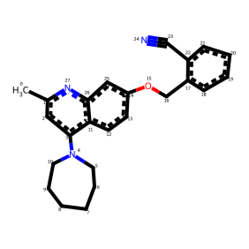 Cc1cc(N2CCCCCC2)c2ccc(OCc3ccccc3C#N)cc2n1